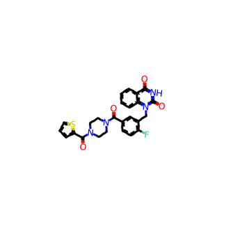 O=C(c1ccc(F)c(Cn2c(=O)[nH]c(=O)c3ccccc32)c1)N1CCN(C(=O)c2cccs2)CC1